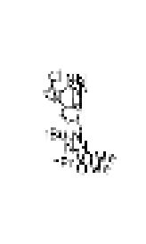 CCCCc1nc(C(CCC)(OC)OC)nn1Cc1ccc(-n2ccc(Cl)c2-c2nnn[nH]2)cc1